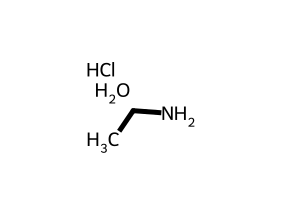 CCN.Cl.O